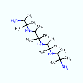 CC(NC(C)(C)C(C)NC(C)(C)C(C)NC(C)(C)C(C)N)C(C)(C)N